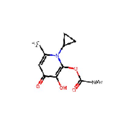 CNC(=O)Oc1c(O)c(=O)cc(C)n1C1CC1